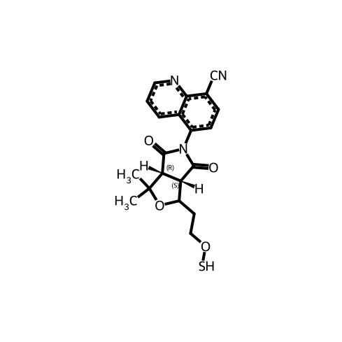 CC1(C)OC(CCOS)[C@H]2C(=O)N(c3ccc(C#N)c4ncccc34)C(=O)[C@H]21